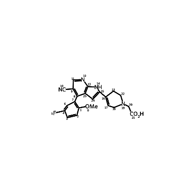 COc1ccc(F)cc1-c1c(C#N)cnc2[nH]c(C3=CCN(CC(=O)O)CC3)cc12